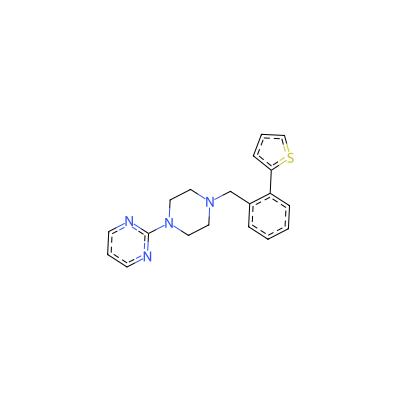 c1cnc(N2CCN(Cc3ccccc3-c3cccs3)CC2)nc1